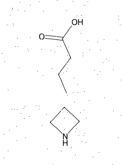 C1CNC1.CCCC(=O)O